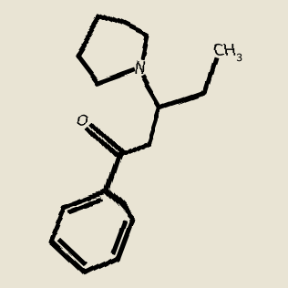 CCC(CC(=O)c1ccccc1)N1CCCC1